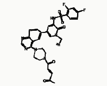 [2H]Cn1cc(-c2ccc3ncnc(N4CCN(C(=O)/C=C/C(C)=O)CC4)c3c2)cc(NS(=O)(=O)c2ccc(F)cc2F)c1=O